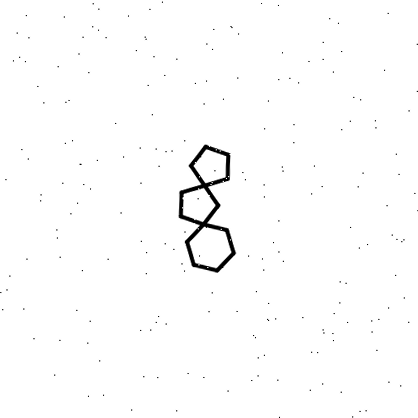 C1CCC2(CC1)CCC1(CCCC1)C2